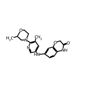 Cc1cc(Nc2ccc3c(c2)OCC(=O)N3)cnc1N1CCOC(C)C1